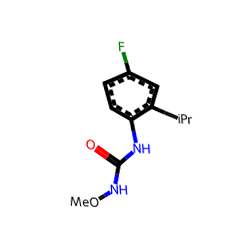 CONC(=O)Nc1ccc(F)cc1C(C)C